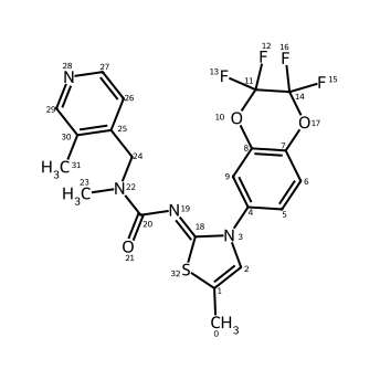 Cc1cn(-c2ccc3c(c2)OC(F)(F)C(F)(F)O3)c(=NC(=O)N(C)Cc2ccncc2C)s1